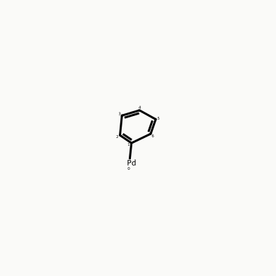 [Pd][c]1ccccc1